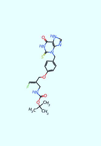 CC(C)(C)OC(=O)NC/C(=C\F)COc1ccc(Cn2c(=S)[nH]c(=O)c3[nH]cnc32)cc1